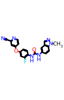 Cn1ncc2cc(NC(=O)Nc3ccc(Oc4ccnc(C#N)c4)cc3F)ccc21